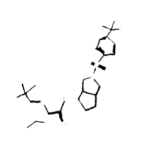 CCC[C@H](NCC(C)(C)C)C(=O)N[C@H]1CC[C@@H]2CN(S(=O)(=O)c3ccc(C(F)(F)F)cc3)C[C@@H]21